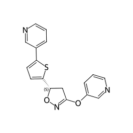 c1cncc(OC2=NO[C@H](c3ccc(-c4cccnc4)s3)C2)c1